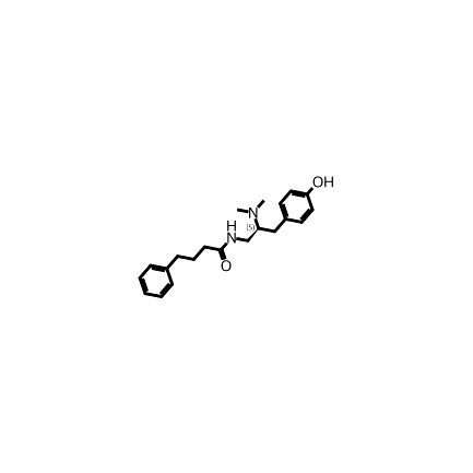 CN(C)[C@H](CNC(=O)CCCc1ccccc1)Cc1ccc(O)cc1